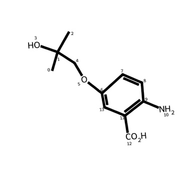 CC(C)(O)COc1ccc(N)c(C(=O)O)c1